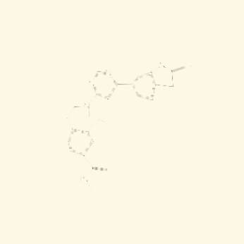 CNC(=O)c1ccc([C@H](C)CNc2cc(-c3ccc4c(c3)NC(=O)C4)ncn2)c(OC)c1